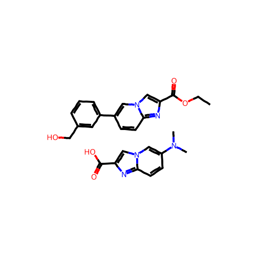 CCOC(=O)c1cn2cc(-c3cccc(CO)c3)ccc2n1.CN(C)c1ccc2nc(C(=O)O)cn2c1